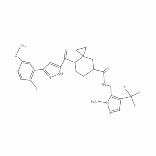 COc1cc(-c2cc(C(=O)N3CCC(C(=O)NCc4c(C(F)(F)F)cnn4C)CC34CC4)[nH]n2)c(F)cn1